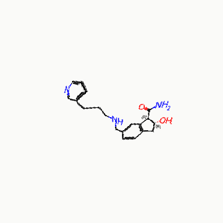 NC(=O)[C@@H]1c2cc(CNCCCc3cccnc3)ccc2C[C@H]1O